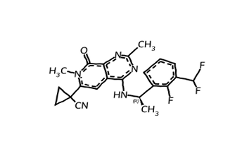 Cc1nc(N[C@H](C)c2cccc(C(F)F)c2F)c2cc(C3(C#N)CC3)n(C)c(=O)c2n1